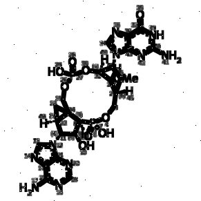 CO[C@@H]1[C@H]2COP(=O)(O)[C@H]3[C@@H](O)[C@H](n4cnc5c(N)ncnc54)[C@H]4CC43COP(=O)(O)O[C@H]1[C@H](n1cnc3c(=O)[nH]c(N)nc31)C2